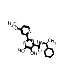 COc1ccnc(-c2nc(O)c(O)c(C(=O)N[C@H](C)C3CCCCC3)n2)c1